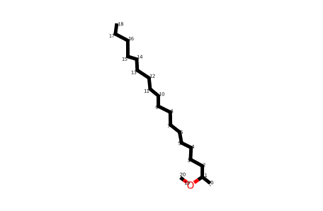 [CH2]C(CCCCCCCCCCCCCCCCC)OC